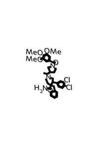 COc1cc(C(=O)N2CCC(C(C)N3CCC(Cc4ccccc4)(C(N)=O)C(c4ccc(Cl)c(Cl)c4)C3)C2)cc(OC)c1OC